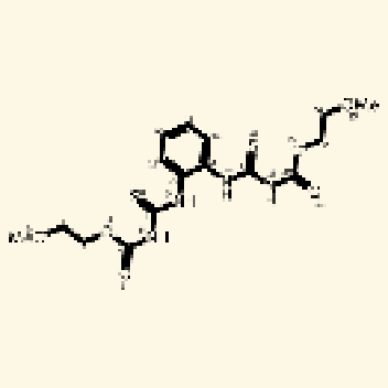 COCCOC(=O)NC(=S)Nc1ccccc1NC(=S)NC(=O)OCCOC